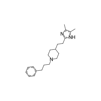 Cc1nc(CCC2CCN(CCCc3ccccc3)CC2)[nH]c1C